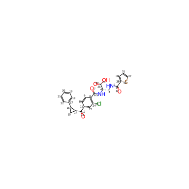 O=C(NC[C@H](NC(=O)c1ccc(C(=O)C2CC2c2ccccc2)cc1Cl)C(=O)O)c1cccs1